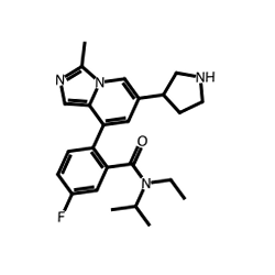 CCN(C(=O)c1cc(F)ccc1-c1cc(C2CCNC2)cn2c(C)ncc12)C(C)C